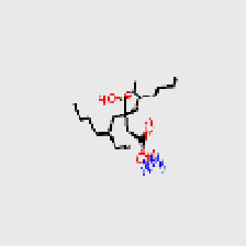 CCCCC(CC)CC(CC(=O)O)(CC(CC)CCCC)C(=O)O.N.N